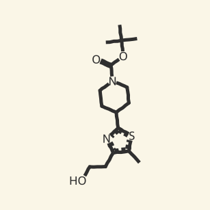 Cc1sc(C2CCN(C(=O)OC(C)(C)C)CC2)nc1CCO